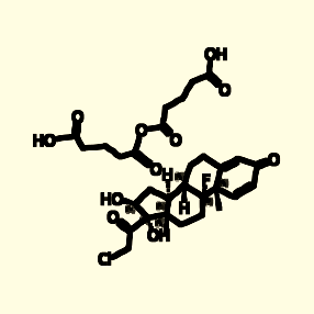 C[C@]12C=CC(=O)C=C1CC[C@H]1[C@@H]3C[C@H](O)[C@](O)(C(=O)CCl)[C@@]3(C)CC[C@@]12F.O=C(O)CCCC(=O)OC(=O)CCCC(=O)O